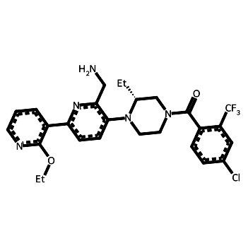 CCOc1ncccc1-c1ccc(N2CCN(C(=O)c3ccc(Cl)cc3C(F)(F)F)C[C@H]2CC)c(CN)n1